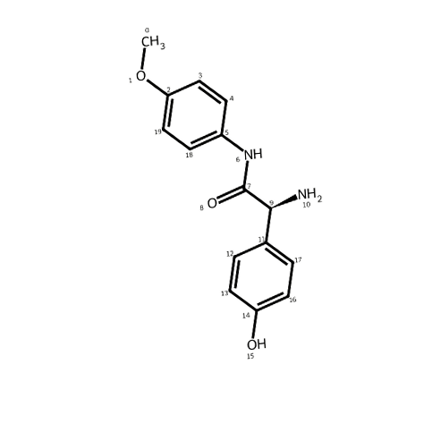 COc1ccc(NC(=O)[C@@H](N)c2ccc(O)cc2)cc1